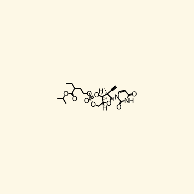 C#C[C@]1(C)[C@@H]2O[P@](=O)(OCCC(CC)C(=O)OC(C)C)OC[C@H]2O[C@H]1n1ccc(=O)[nH]c1=O